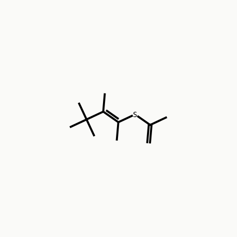 C=C(C)S/C(C)=C(\C)C(C)(C)C